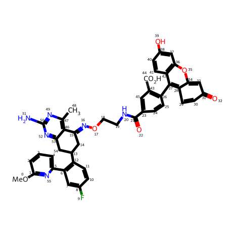 COc1cccc(-c2cc(F)ccc2C2C/C(=N\OCCNC(=O)c3ccc(-c4c5ccc(=O)cc-5oc5cc(O)ccc45)c(C(=O)O)c3)c3c(C)nc(N)nc3C2)n1